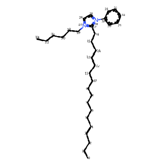 CCCCCCCCCCCCCCCCCc1n(-c2ccccc2)cc[n+]1CCCCCC